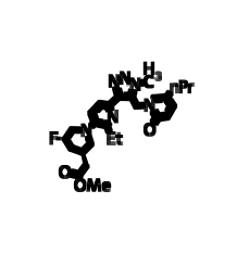 CCCc1ccc(=O)n(Cc2c(-c3ccc(N4C[C@@H](F)C[C@H](CC(=O)OC)C4)c(CC)n3)nnn2C)c1